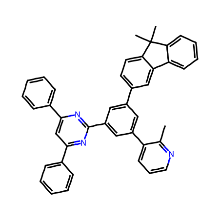 Cc1ncccc1-c1cc(-c2ccc3c(c2)-c2ccccc2C3(C)C)cc(-c2nc(-c3ccccc3)cc(-c3ccccc3)n2)c1